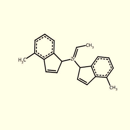 C[CH]=[Zr]([CH]1C=Cc2c(C)cccc21)[CH]1C=Cc2c(C)cccc21